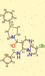 O=C(c1cnc2c(Br)cnn2c1NCc1cccs1)N1CCC(c2ccccc2)CC1